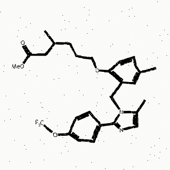 COC(=O)CC(C)CCCOc1ccc(C)cc1Cn1c(C)cnc1-c1ccc(OC(F)(F)F)cc1